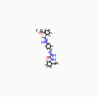 C/C(=N\Nc1ccc(/C=N/NC(=O)Nc2ccccc2C(C)C)cc1)c1ccccc1OC(F)(F)F